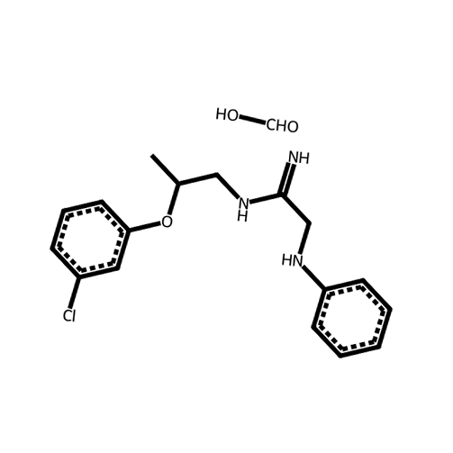 CC(CNC(=N)CNc1ccccc1)Oc1cccc(Cl)c1.O=CO